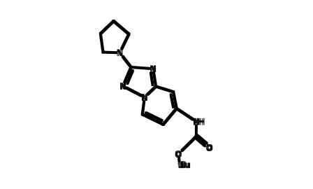 CC(C)(C)OC(=O)Nc1ccn2nc(N3CCCC3)nc2c1